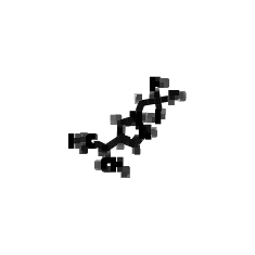 C=C(C)c1cnn(CC(F)(F)F)c1